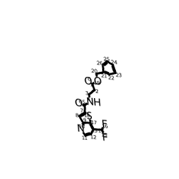 O=C(CCNC(=O)c1cc2nccc(C(F)F)c2s1)OCc1ccccc1